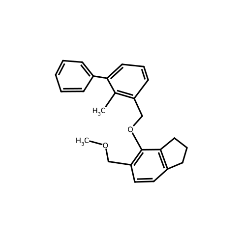 COCc1ccc2c(c1OCc1cccc(-c3ccccc3)c1C)CCC2